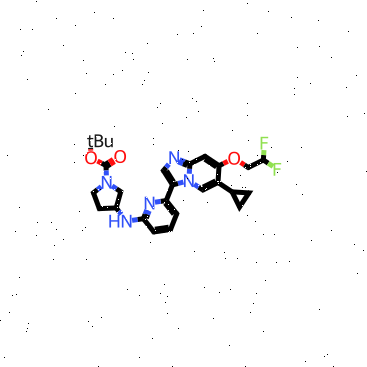 CC(C)(C)OC(=O)N1CCC(Nc2cccc(-c3cnc4cc(OCC(F)F)c(C5CC5)cn34)n2)C1